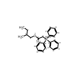 CCC(C)COC(=O)C[PH](c1ccccc1)(c1ccccc1)c1ccccc1